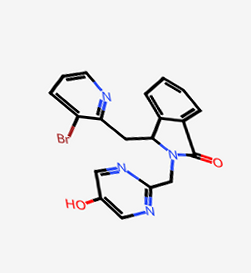 O=C1c2ccccc2C(Cc2ncccc2Br)N1Cc1ncc(O)cn1